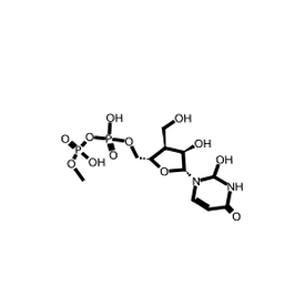 COP(=O)(O)OP(=O)(O)OC[C@H]1O[C@@H](N2C=CC(=O)NC2O)[C@H](O)[C@@H]1CO